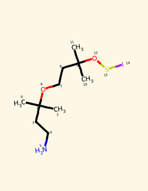 CC(C)(CCN)OCCC(C)(C)OSI